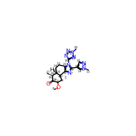 COC1C[C@]2(C)c3nc(-c4cnn(C)c4)n(-c4nnn(C)n4)c3CC[C@H]2[C@H](C)C1=O